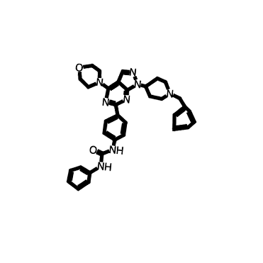 O=C(Nc1ccccc1)Nc1ccc(-c2nc(N3CCOCC3)c3cnn(C4CCN(Cc5ccccc5)CC4)c3n2)cc1